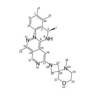 Cc1cccc([C@@H](C)Nc2nnc(C)c3cnc(N4CC5(COCCN5C)C4)cc23)c1C